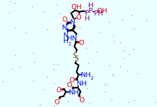 Nc1nc(=O)n(C2CC(O)C(CPPPO)O2)cc1CNC(=O)CCSSCCCC(N)C(=O)NC(CC=O)C(=O)NC(C=O)CC=O